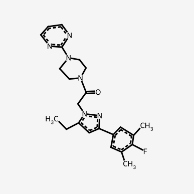 CCc1cc(-c2cc(C)c(F)c(C)c2)nn1CC(=O)N1CCN(c2ncccn2)CC1